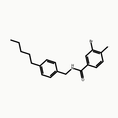 [CH2]c1ccc(C(=O)NCc2ccc(CCCCC)cc2)cc1Br